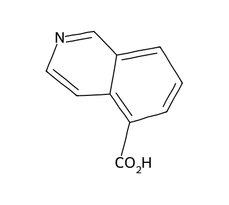 O=C(O)c1cccc2cnccc12